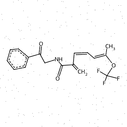 C=C(/C=C\C=C(/C)OC(F)(F)F)C(=O)NCC(=O)c1ccccc1